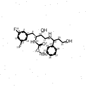 CC(C)(C)OC(=O)N[C@@H](Cc1cc(F)cc(F)c1)[C@H](O)CNC(CCO)c1ccccc1